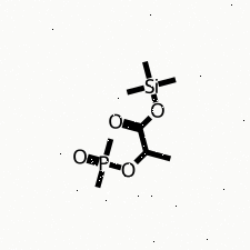 CC(OP(C)(C)=O)C(=O)O[Si](C)(C)C